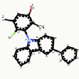 N#Cc1cc(Br)c(C#N)c(-n2c3ccccc3c3cc(-c4ccccc4)ccc32)c1F